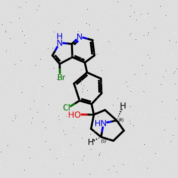 OC1(c2ccc(-c3ccnc4[nH]cc(Br)c34)cc2Cl)C[C@H]2CC[C@@H](C1)N2